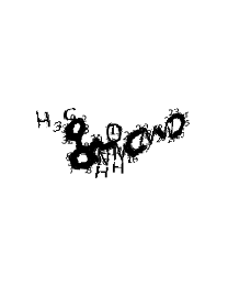 Cc1ccc(-c2cccc3[nH]c(C(=O)NC4CCN(CCN5CCCCCC5)CC4)cc23)cc1